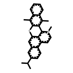 Cc1c2c(c(C)c3ccccc13)-c1c3c(cc4cc(C(C)C)ccc4c3cc[n+]1C)S2